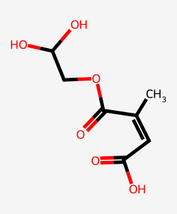 C/C(=C/C(=O)O)C(=O)OCC(O)O